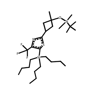 CCC[CH2][Sn]([CH2]CCC)([CH2]CCC)[c]1sc(C2CC(C)(O[Si](C)(C)C(C)(C)C)C2)nc1C(F)(F)F